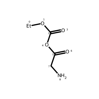 CCOC(=O)OC(=O)CN